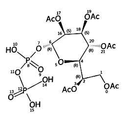 CC(=O)OC[C@@H](OC(C)=O)[C@H]1O[C@H](OP(=O)(O)OP(=O)(O)O)[C@@H](OC(C)=O)[C@@H](OC(C)=O)[C@@H]1OC(C)=O